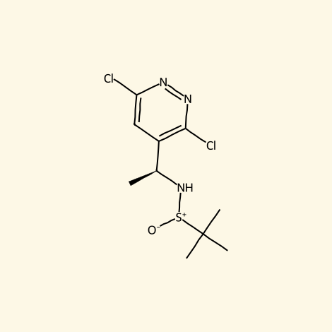 C[C@H](N[S+]([O-])C(C)(C)C)c1cc(Cl)nnc1Cl